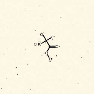 CCOC(=O)C(Cl)(C=O)CC